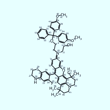 COc1ccc(C(OCC/[N+](CCO)=c2\ccc3c(-c4cc5c(cc4F)NCCS5)c4cc5c6c(c4oc-3c2)C(C)(C)CCN6CCC5(C)C)(c2ccccc2)c2ccc(OC)cc2)cc1